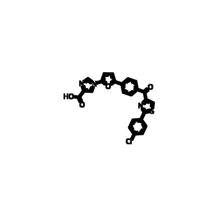 O=C(O)c1cn(-c2ccc(-c3ccc(C(=O)c4csc(-c5ccc(Cl)cc5)n4)cc3)o2)cn1